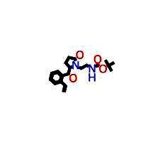 C=Cc1ccccc1C(=O)C1CCC(=O)N1CCNC(=O)OC(C)(C)C